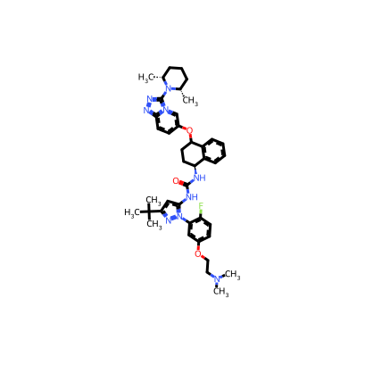 C[C@@H]1CCC[C@H](C)N1c1nnc2ccc(OC3CC[C@H](NC(=O)Nc4cc(C(C)(C)C)nn4-c4cc(OCCN(C)C)ccc4F)c4ccccc43)cn12